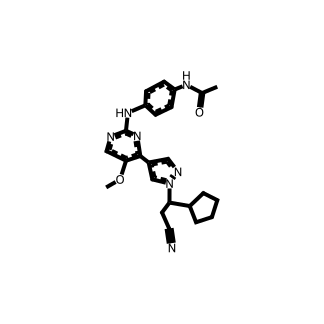 COc1cnc(Nc2ccc(NC(C)=O)cc2)nc1-c1cnn(C(CC#N)C2CCCC2)c1